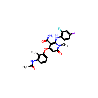 CC(=O)Nc1cccc(Oc2cc(=O)n(C)c(Nc3ccc(I)cc3F)c2C(N)=O)c1C